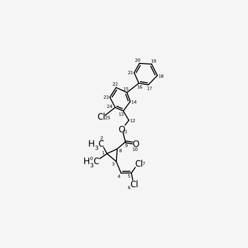 CC1(C)C(C=C(Cl)Cl)C1C(=O)OCc1cc(-c2ccccc2)ccc1Cl